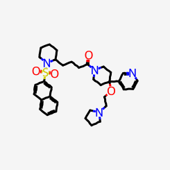 O=C(CCCC1CCCCN1S(=O)(=O)c1ccc2ccccc2c1)N1CCC(OCCN2CCCC2)(c2cccnc2)CC1